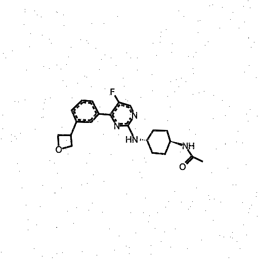 CC(=O)N[C@H]1CC[C@H](Nc2ncc(F)c(-c3cccc(C4COC4)c3)n2)CC1